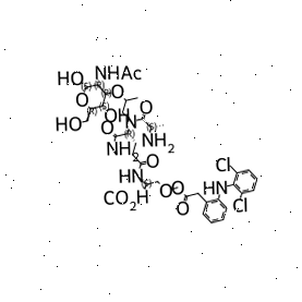 CC(=O)N[C@@H]1[C@@H](OC(C)CN(C(=O)[C@H](C)N)[C@H](CCC(=O)N[C@@H](COOC(=O)Cc2ccccc2Nc2c(Cl)cccc2Cl)C(=O)O)C(N)=O)[C@H](O)[C@@H](CO)O[C@@H]1O